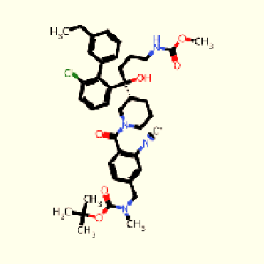 [C-]#[N+]c1cc(CN(C)C(=O)OC(C)(C)C)ccc1C(=O)N1CCC[C@@H](C(O)(CCCNC(=O)OC)c2cccc(Cl)c2-c2cccc(CC)c2)C1